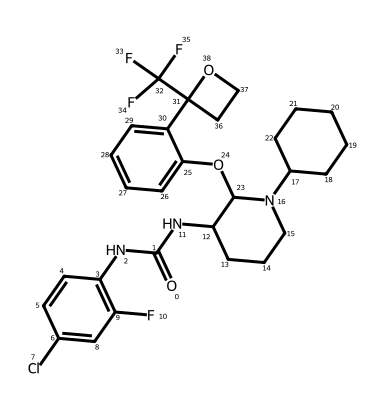 O=C(Nc1ccc(Cl)cc1F)NC1CCCN(C2CCCCC2)C1Oc1ccccc1C1(C(F)(F)F)CCO1